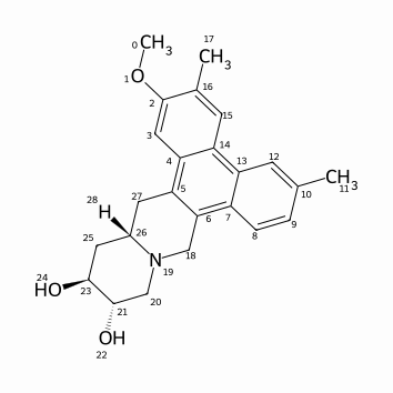 COc1cc2c3c(c4ccc(C)cc4c2cc1C)CN1C[C@H](O)[C@@H](O)C[C@@H]1C3